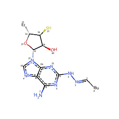 CCC(C)C=NNc1nc(N)c2ncn([C@@H]3O[C@H](CC)[C@@H](S)[C@H]3O)c2n1